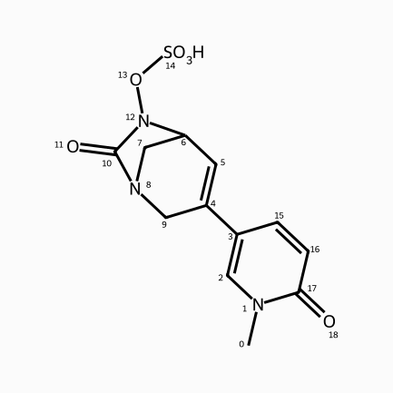 Cn1cc(C2=CC3CN(C2)C(=O)N3OS(=O)(=O)O)ccc1=O